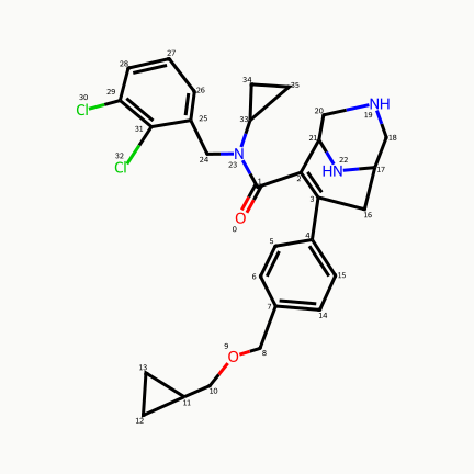 O=C(C1=C(c2ccc(COCC3CC3)cc2)CC2CNCC1N2)N(Cc1cccc(Cl)c1Cl)C1CC1